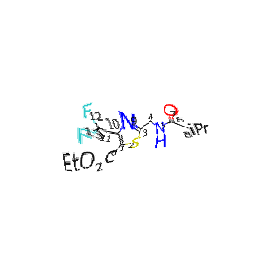 CCOC(=O)c1sc(CNC(=O)C(C)C)nc1C(F)F